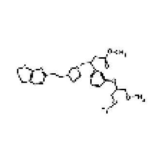 COCC(COC)Oc1cccc(C(CC(=O)OC)CN2CC[C@@H](CCc3ccc4c(n3)NCCC4)C2)c1